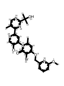 COc1cccc(COc2cc(C)n(-c3cc(-c4nc(C(C)(C)O)ncc4C)ncc3Cl)c(=O)c2Br)n1